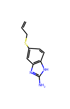 C=CCSc1ccc2[nH]c(N)nc2c1